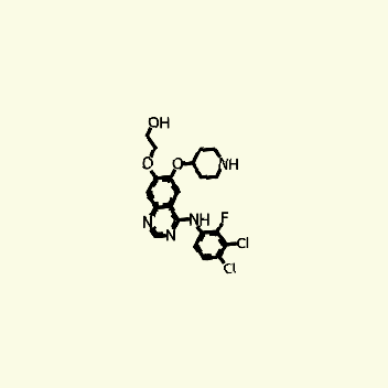 OCCOc1cc2ncnc(Nc3ccc(Cl)c(Cl)c3F)c2cc1OC1CCNCC1